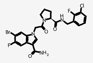 NC(=O)c1cn(CC(=O)N2CCC[C@H]2C(=O)NCc2cccc(Cl)c2F)c2cc(Br)c(F)cc12